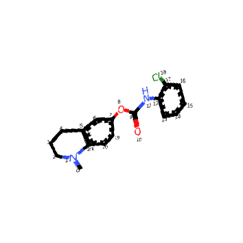 CN1CCCc2cc(OC(=O)Nc3ccccc3Cl)ccc21